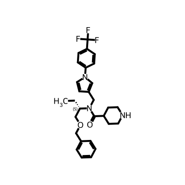 CC[C@@H](COCc1ccccc1)N(Cc1ccn(-c2ccc(C(F)(F)F)cc2)c1)C(=O)C1CCNCC1